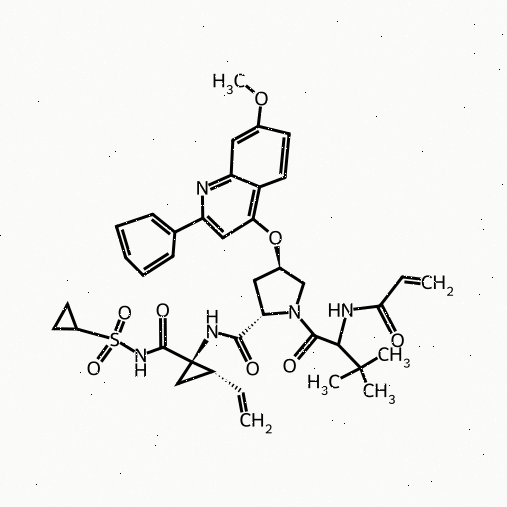 C=CC(=O)NC(C(=O)N1C[C@H](Oc2cc(-c3ccccc3)nc3cc(OC)ccc23)C[C@H]1C(=O)N[C@]1(C(=O)NS(=O)(=O)C2CC2)C[C@H]1C=C)C(C)(C)C